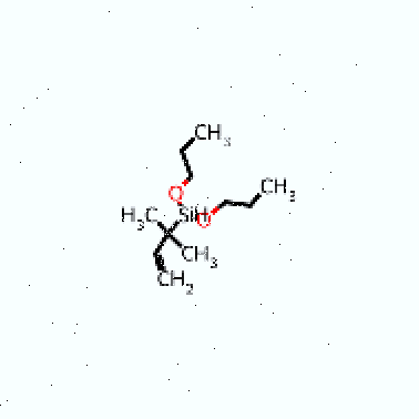 C=CC(C)(C)[SiH](OCCC)OCCC